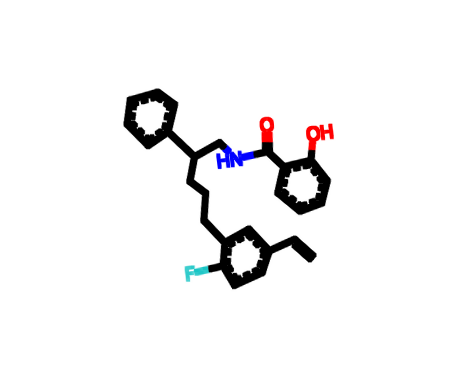 C=Cc1ccc(F)c(CCCC(CNC(=O)c2ccccc2O)c2ccccc2)c1